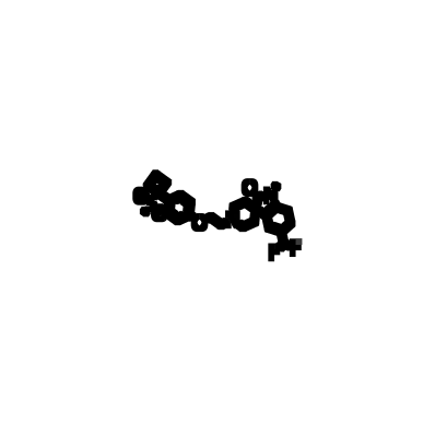 CN1C(=O)C2(CCN(CCOc3ccc(C4(S(C)(=O)=O)CCC4)cc3)CC2)C2=C1CCC(C(F)F)=C2